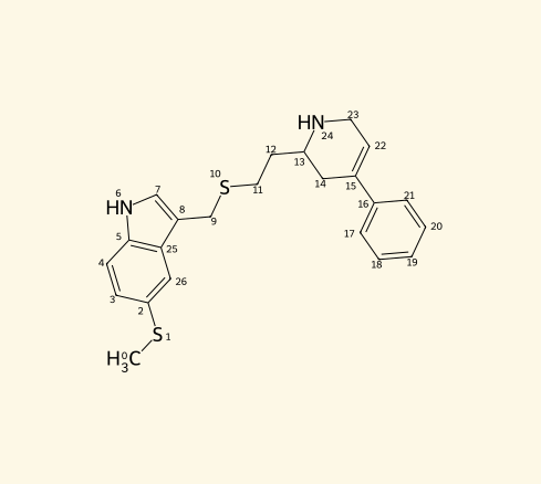 CSc1ccc2[nH]cc(CSCCC3CC(c4ccccc4)=CCN3)c2c1